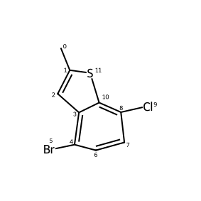 Cc1cc2c(Br)ccc(Cl)c2s1